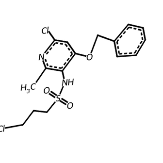 Cc1nc(Cl)cc(OCc2ccccc2)c1NS(=O)(=O)CCCCl